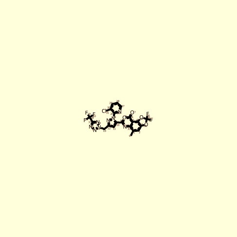 Cc1cc2c(c3c(=O)oc(-c4cc(Cn5nnc(C(F)(F)F)n5)nn4-c4ncccc4Cl)nc13)OC(F)(F)O2